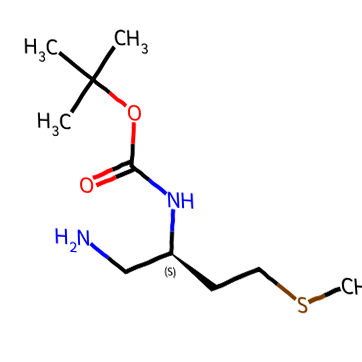 CSCC[C@@H](CN)NC(=O)OC(C)(C)C